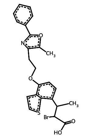 Cc1oc(-c2ccccc2)nc1CCOc1ccc(C(C)C(Br)C(=O)O)c2sccc12